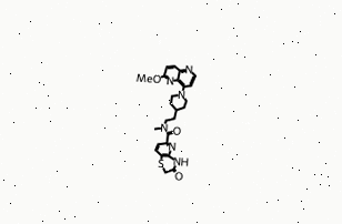 COc1ccc2nccc(N3CCC(CCN(C)C(=O)c4ccc5c(n4)NC(=O)CS5)CC3)c2n1